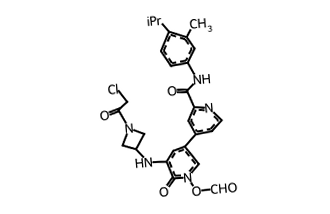 Cc1cc(NC(=O)c2cc(-c3cc(NC4CN(C(=O)CCl)C4)c(=O)n(OC=O)c3)ccn2)ccc1C(C)C